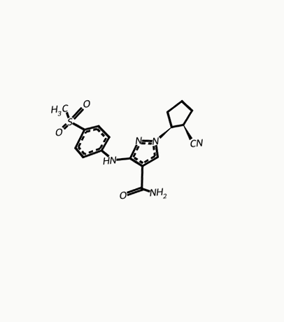 CS(=O)(=O)c1ccc(Nc2nn([C@H]3CCC[C@H]3C#N)cc2C(N)=O)cc1